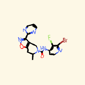 CC1Cc2onc(-c3ncccn3)c2CN1C(=O)Nc1ccnc(Br)c1F